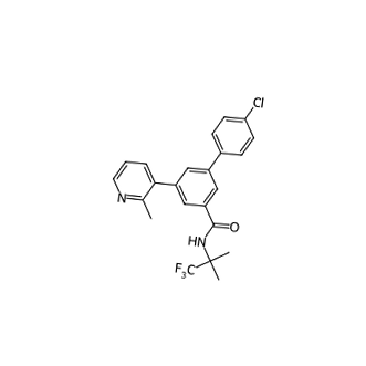 Cc1ncccc1-c1cc(C(=O)NC(C)(C)C(F)(F)F)cc(-c2ccc(Cl)cc2)c1